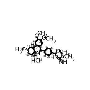 COc1cc2c(cc1OC)[C@H]1CN(C)CC[C@H]1N=C2c1ccc(C(=O)NC(=N)N(C)C)cc1.Cl